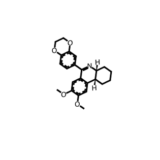 COc1cc2c(cc1OC)[C@H]1CCCC[C@H]1N=C2c1ccc2c(c1)OCCO2